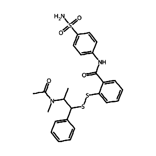 CC(=O)N(C)C(C)C(SSc1ccccc1C(=O)Nc1ccc(S(N)(=O)=O)cc1)c1ccccc1